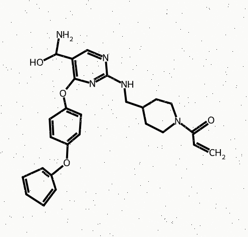 C=CC(=O)N1CCC(CNc2ncc(C(N)O)c(Oc3ccc(Oc4ccccc4)cc3)n2)CC1